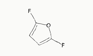 Fc1ccc(F)o1